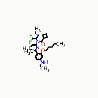 C/C=C(\N=C(/C)c1ccc(NCC)cc1OCCCCC)N(C(=O)C1CCC1)C(CC)C(F)F